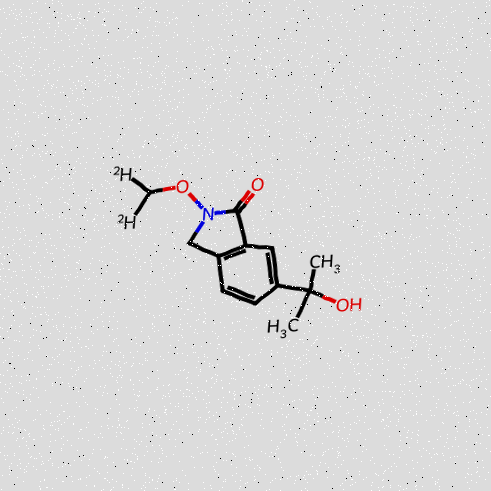 [2H]C([2H])ON1Cc2ccc(C(C)(C)O)cc2C1=O